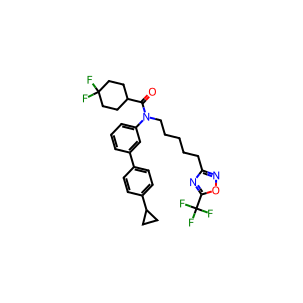 O=C(C1CCC(F)(F)CC1)N(CCCCCc1noc(C(F)(F)F)n1)c1cccc(-c2ccc(C3CC3)cc2)c1